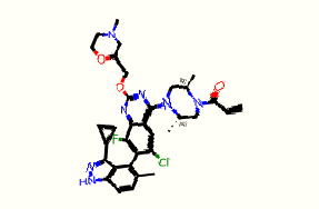 C=CC(=O)N1C[C@H](C)N(c2nc(OCC3CN(C)CCO3)nc3c(F)c(-c4c(C)ccc5[nH]nc(C6CC6)c45)c(Cl)cc23)C[C@H]1C